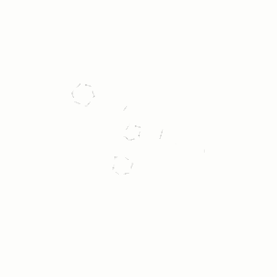 CCOC(=O)Cc1cc(C(=O)CCc2ccccc2)sc1-c1ccc(Cl)cc1